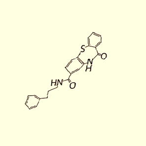 O=C(NCCCc1ccccc1)c1ccc2c(c1)NC(=O)c1ccccc1S2